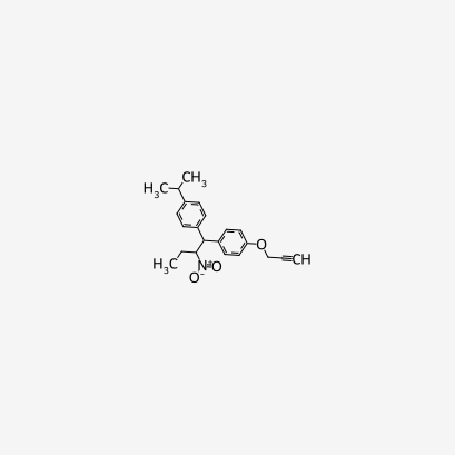 C#CCOc1ccc(C(c2ccc(C(C)C)cc2)C(CC)[N+](=O)[O-])cc1